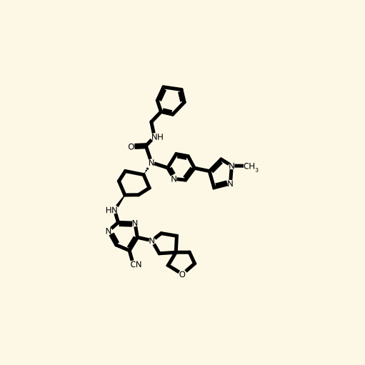 Cn1cc(-c2ccc(N(C(=O)NCc3ccccc3)[C@H]3CC[C@H](Nc4ncc(C#N)c(N5CCC6(CCOC6)C5)n4)CC3)nc2)cn1